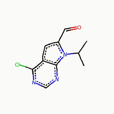 CC(C)n1c(C=O)cc2c(Cl)ncnc21